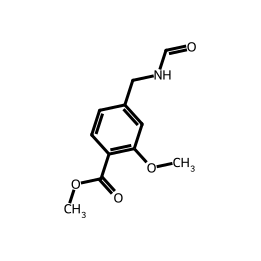 COC(=O)c1ccc(CNC=O)cc1OC